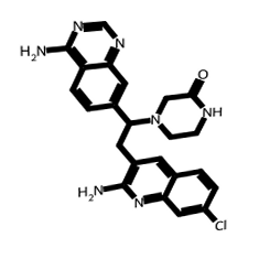 Nc1nc2cc(Cl)ccc2cc1CC(c1ccc2c(N)ncnc2c1)N1CCNC(=O)C1